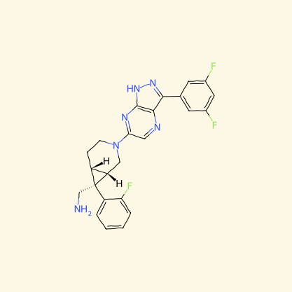 NC[C@]1(c2ccccc2F)[C@@H]2CCN(c3cnc4c(-c5cc(F)cc(F)c5)n[nH]c4n3)C[C@@H]21